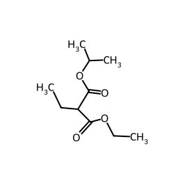 CCOC(=O)C(CC)C(=O)OC(C)C